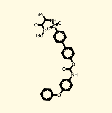 CC(C)C(NS(=O)(=O)c1ccc(-c2ccc(OC(=O)Nc3ccc(Oc4ccccc4)cc3)cc2)cc1)C(=O)OC(C)(C)C